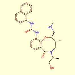 CNC[C@@H]1Oc2c(NC(=O)Nc3cccc4ccccc34)cccc2C(=O)N([C@@H](C)CO)C[C@H]1C